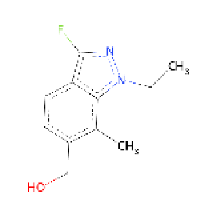 CCn1nc(F)c2ccc(CO)c(C)c21